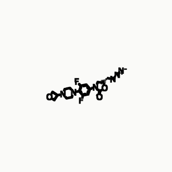 [N-]=[N+]=NC[C@H]1CN(c2cc(F)c(N3CCN(C4COC4)CC3)c(F)c2)C(=O)O1